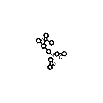 c1ccc(-c2c3ccccc3n3c4ccccc4c4ccc(-c5ccc(N(c6ccc7c(c6)oc6ccccc67)c6ccc7c(c6)oc6ccccc67)cc5)cc4c23)cc1